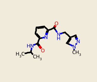 CC(C)NC(=O)c1cccc(C(=O)NCc2cnn(C)c2)n1